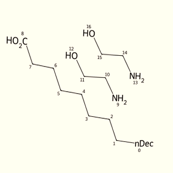 CCCCCCCCCCCCCCCCCC(=O)O.NCCO.NCCO